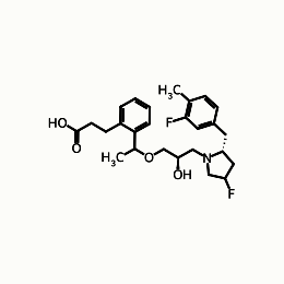 Cc1ccc(C[C@@H]2CC(F)CN2C[C@@H](O)COC(C)c2ccccc2CCC(=O)O)cc1F